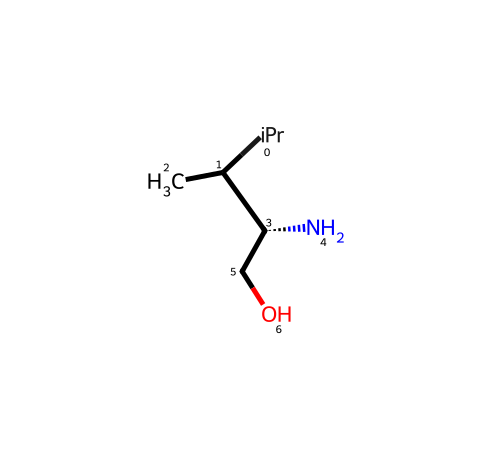 CC(C)C(C)[C@H](N)CO